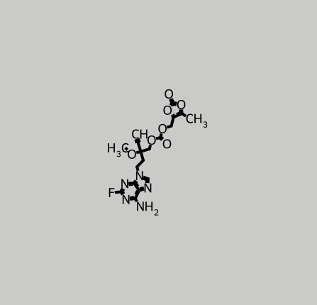 C#CC(CCn1cnc2c(N)nc(F)nc21)(COC(=O)OCc1oc(=O)oc1C)OC